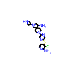 Nc1nccc(Sc2cnc(N3CCC4(CC3)CN(C3CNC3)C[C@H]4N)cn2)c1Cl